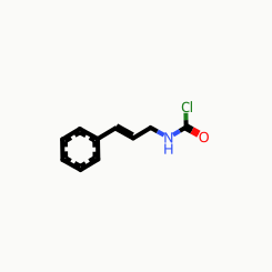 O=C(Cl)NCC=Cc1ccccc1